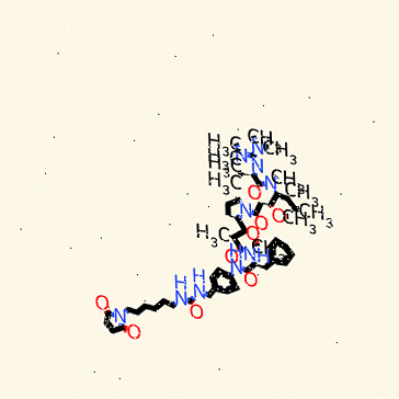 CC[C@H](C)[C@@H]([C@@H](CC(=O)N1CCC[C@H]1[C@H](OC)[C@@H](C)C(=O)N[C@@H](Cc1ccccc1)C(=O)Nc1ccc(CNC(=O)NCCCCCCN2C(=O)C=CC2=O)cc1)OC)N(C)C(=O)[C@@H](N=C(N(C)C)N(C)C)C(C)C